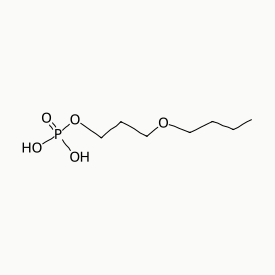 CCCCOCCCOP(=O)(O)O